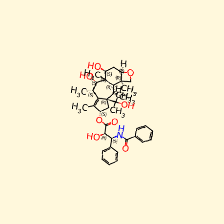 CC1=C2[C@H](C)[C@H](O)[C@@]3(C)[C@H]([C@H](C)[C@]2(C(C)(C)O)C[C@@H]1OC(=O)[C@H](O)[C@@H](NC(=O)c1ccccc1)c1ccccc1)[C@]1(C)CO[C@@H]1C[C@@H]3O